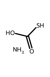 N.O=C(O)S